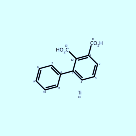 O=C(O)c1cccc(-c2ccccc2)c1C(=O)O.[Ti]